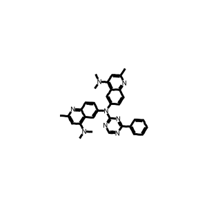 Cc1cc(N(C)C)c2cc(N(c3ccc4nc(C)cc(N(C)C)c4c3)c3ncnc(-c4ccccc4)n3)ccc2n1